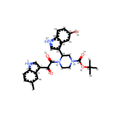 Cc1ccc2[nH]cc(C(=O)C(=O)N3CCN(C(=O)OC(C)(C)C)CC3c3c[nH]c4ccc(Br)cc34)c2c1